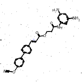 N#COc1ccc(-c2ccc(/C=C/C(=O)OCCC(=O)Nc3cc(N)cc(N)c3)cc2)cc1